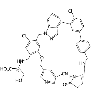 N#Cc1cncc(COc2cc(Cn3ncc4c(-c5cc(-c6ccc(CNC[C@@H]7CCC(=O)N7)cc6)ccc5Cl)cccc43)c(Cl)cc2CN[C@@H](CO)C(=O)O)c1